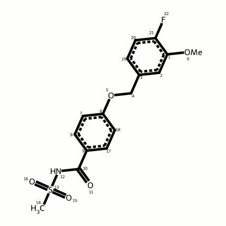 COc1cc(COc2ccc(C(=O)NS(C)(=O)=O)cc2)ccc1F